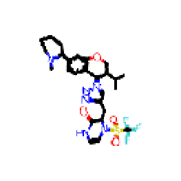 CC(C)C1COc2cc(C3CCCCN3C)ccc2C1n1cc(CC2C(=O)NC=CN2S(=O)(=O)C(F)(F)F)nn1